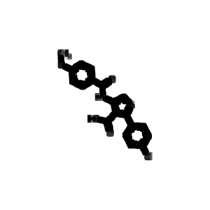 COc1ccc(C(=O)Nc2csc(-c3ccc(Cl)cc3)c2C(=O)O)cc1